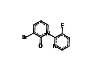 O=c1c(Br)cccn1-c1ncccc1F